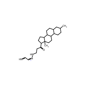 CC1CCC2C(CCC3C2CCC2(C)C(C(=O)CCN/N=C\C=N)CCC32)C1